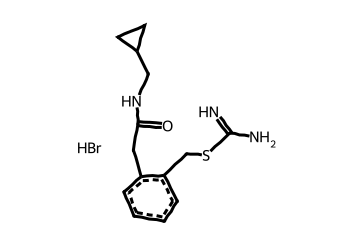 Br.N=C(N)SCc1ccccc1CC(=O)NCC1CC1